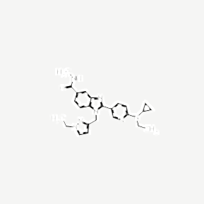 CCN(c1ccc(-c2nc3cc(C(=O)NC)ccc3n2Cc2ccn(CC)n2)cn1)C1CC1